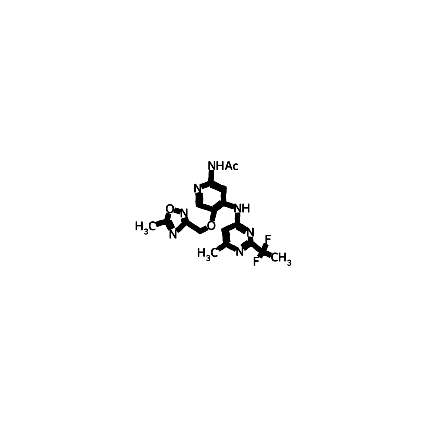 CC(=O)Nc1cc(Nc2cc(C)nc(C(C)(F)F)n2)c(OCc2noc(C)n2)cn1